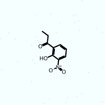 CCC(=O)c1cccc([N+](=O)[O-])c1O